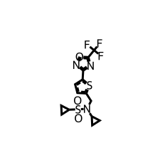 O=S(=O)(C1CC1)N(Cc1ccc(-c2noc(C(F)(F)F)n2)s1)C1CC1